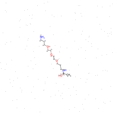 CB(O)NCCCOCCOCCOCCCN